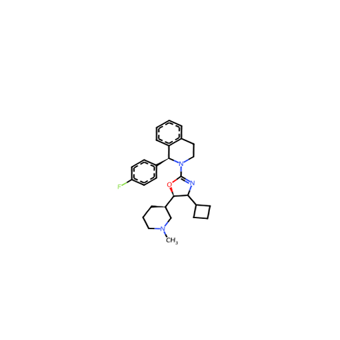 CN1CCC[C@@H]([C@H]2OC(N3CCc4ccccc4[C@@H]3c3ccc(F)cc3)=NC2C2CCC2)C1